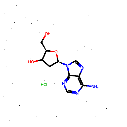 Cl.Nc1ncnc2c1ncn2[C@H]1CC(O)[C@@H](CO)O1